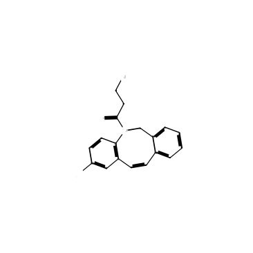 Cc1ccc2c(c1)/C=C\c1ccccc1CN2C(=O)CCN